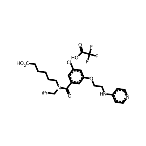 CC(C)CN(CCCCCC(=O)O)C(=O)c1cc(Cl)cc(OCCNc2ccncc2)c1.O=C(O)C(F)(F)F